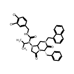 CC(C)N(C(=O)NCc1ccc(Cl)c(Cl)c1)N1CC(=O)N2C1CN(Cc1cccc3ccccc13)C(=O)[C@@H]2Cc1ccccc1